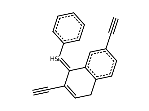 [C]#CC1=CCc2ccc(C#[C])cc2C1=[SiH]c1ccccc1